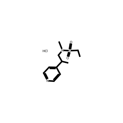 CCS(=O)(=O)N(C)CC(C)c1ccncc1.Cl